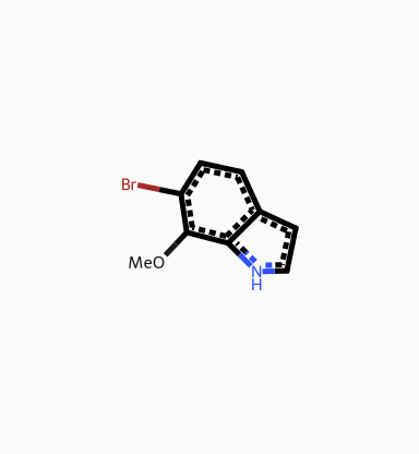 COc1c(Br)ccc2cc[nH]c12